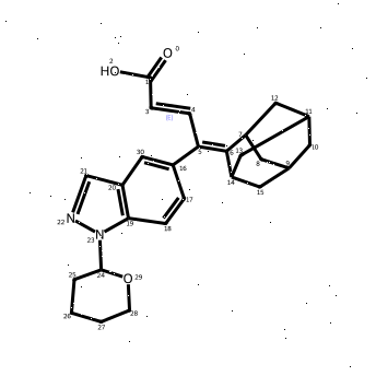 O=C(O)/C=C/C(=C1C2CC3CC(C2)CC1C3)c1ccc2c(cnn2C2CCCCO2)c1